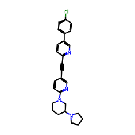 Clc1ccc(-c2ccc(C#Cc3ccc(N4CCCC(N5CCCC5)C4)nc3)nc2)cc1